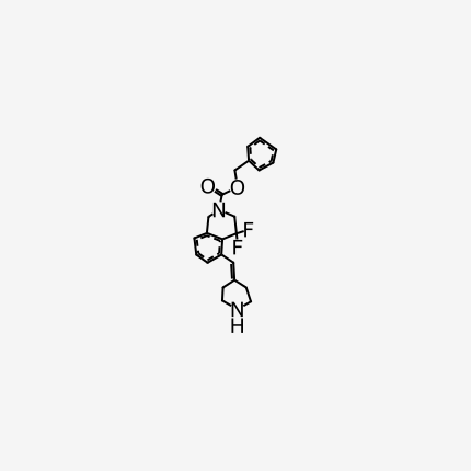 O=C(OCc1ccccc1)N1Cc2cccc(C=C3CCNCC3)c2C(F)(F)C1